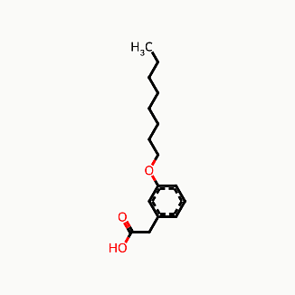 CCCCCCCCOc1cccc(CC(=O)O)c1